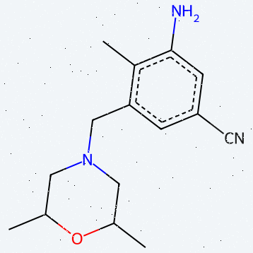 Cc1c(N)cc(C#N)cc1CN1CC(C)OC(C)C1